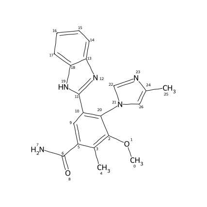 COc1c(C)c(C(N)=O)cc(-c2nc3ccccc3[nH]2)c1-n1cnc(C)c1